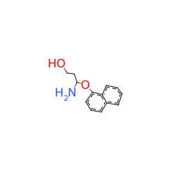 NC(CCO)Oc1cccc2ccccc12